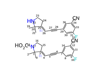 CC1(C)/C(=C/C#Cc2cc(F)cc(C#N)c2)CCN1C(=O)O.CC1(C)NCC/C1=C\C#Cc1cc(F)cc(C#N)c1